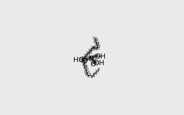 CCCCC/C=C\C/C=C\CCCCCCCCC(O)(CCCCCCCC/C=C\C/C=C\CCCCC)OCCCN(CCCO)CCC(=O)O